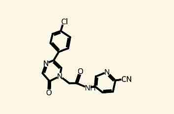 N#Cc1ccc(NC(=O)Cn2cc(-c3ccc(Cl)cc3)ncc2=O)cn1